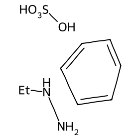 CCNN.O=S(=O)(O)O.c1ccccc1